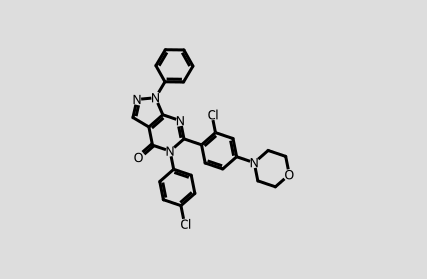 O=c1c2cnn(-c3ccccc3)c2nc(-c2ccc(N3CCOCC3)cc2Cl)n1-c1ccc(Cl)cc1